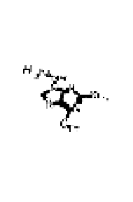 CCOc1nc(N)nc2c1ncn2NN